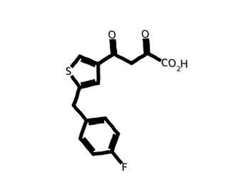 O=C(O)C(=O)CC(=O)c1csc(Cc2ccc(F)cc2)c1